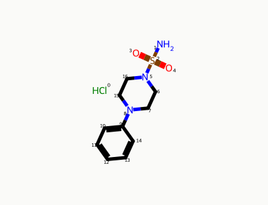 Cl.NS(=O)(=O)N1CCN(c2ccccc2)CC1